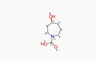 O=C(O)N1CCC[C@H](O)CC1